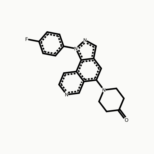 O=C1CCN(c2cc3cnn(-c4ccc(F)cc4)c3c3ccncc23)CC1